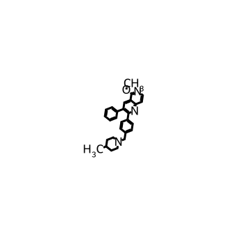 COc1nccc2nc(-c3ccc(CN4CCC(C)CC4)cc3)c(-c3ccccc3)cc12